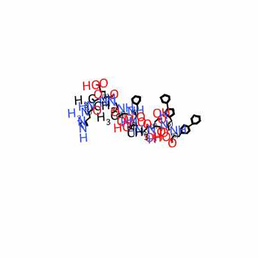 C[C@@H](O)[C@H](NC(=O)CNC(=O)[C@H](CCC(=O)O)NC(=O)C(C)(C)NC(=O)[C@@H](N)Cc1c[nH]cn1)C(=O)N[C@@H](Cc1ccccc1)C(=O)N[C@H](C(=O)N[C@@H](CO)C(=O)N[C@@H](CC(=O)O)C(=O)N[C@@H](Cc1ccc(-c2ccccc2)cc1)C(=O)N[C@@H](Cc1ccc(-c2ccccc2)cc1)C(=O)O)[C@@H](C)O